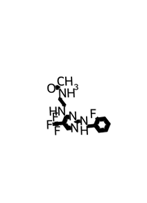 CC(=O)NCCNc1nc(NCc2ccccc2F)ncc1C(F)(F)F